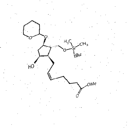 COC(=O)CCC/C=C\C[C@@H]1[C@@H](CO[Si](C)(C)C(C)(C)C)[C@H](OC2CCCCO2)C[C@@H]1O